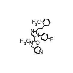 CN(Cc1ccncc1)C(=O)c1cnc(CCc2ccccc2C(F)(F)F)n1-c1ccc(F)cc1